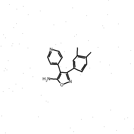 Cc1ccc(-c2noc(N)c2-c2ccncc2)cc1C